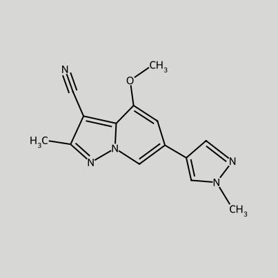 COc1cc(-c2cnn(C)c2)cn2nc(C)c(C#N)c12